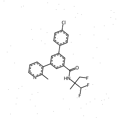 Cc1ncccc1-c1cc(C(=O)NC(C)(CF)C(F)F)cc(-c2ccc(Cl)cc2)c1